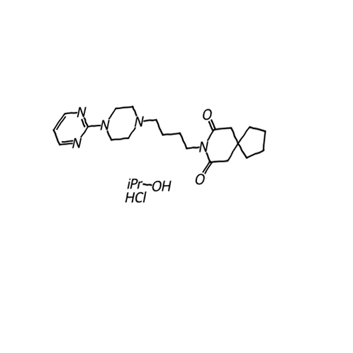 CC(C)O.Cl.O=C1CC2(CCCC2)CC(=O)N1CCCCN1CCN(c2ncccn2)CC1